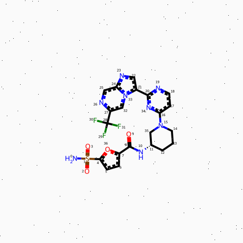 NS(=O)(=O)c1ccc(C(=O)N[C@H]2CCCN(c3ccnc(-c4cnc5cnc(C(F)(F)F)cn45)n3)C2)o1